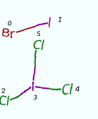 BrI.ClI(Cl)Cl